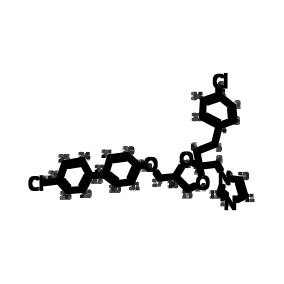 Clc1ccc(CCC2(Cn3ccnc3)OCC(COc3ccc(-c4ccc(Cl)cc4)cc3)O2)cc1